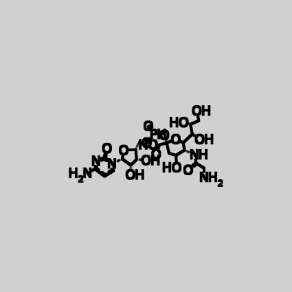 NCC(=O)N[C@@H]1C(O)C[C@@](O[PH](=O)OC[C@H]2O[C@@H](n3ccc(N)nc3=O)[C@@H](O)[C@H]2O)(C(=O)O)OC1[C@H](O)[C@H](O)CO